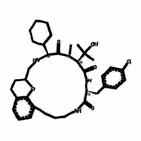 CN1C(=O)[C@H](C2CCCCC2)NCC2CCc3cccc(c3O2)CCCNC(=O)[C@@H](Cc2ccc(Cl)cc2)NC(=O)[C@@H]1C(C)(C)O